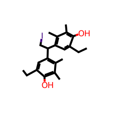 CCc1cc(C(CI)c2cc(CC)c(O)c(C)c2C)c(C)c(C)c1O